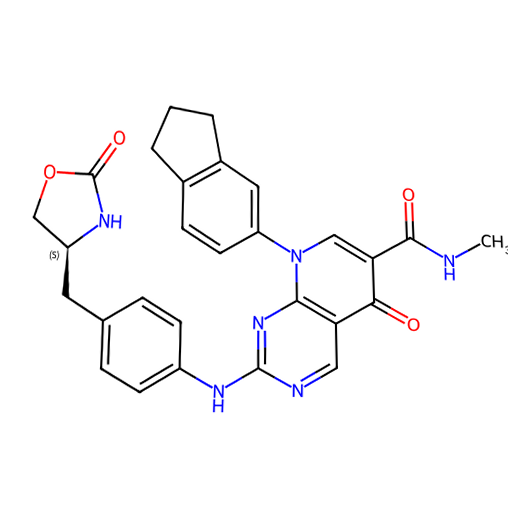 CNC(=O)c1cn(-c2ccc3c(c2)CCC3)c2nc(Nc3ccc(C[C@H]4COC(=O)N4)cc3)ncc2c1=O